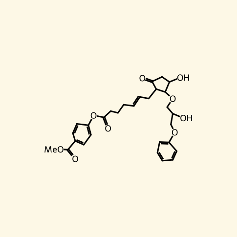 COC(=O)c1ccc(OC(=O)CCCC=CCC2C(=O)CC(O)C2OCC(O)COc2ccccc2)cc1